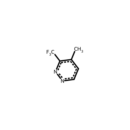 Cc1ccnnc1C(F)(F)F